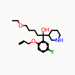 C=CCOc1ccc(F)cc1C(O)(CCCCOCC)C1CCCNC1